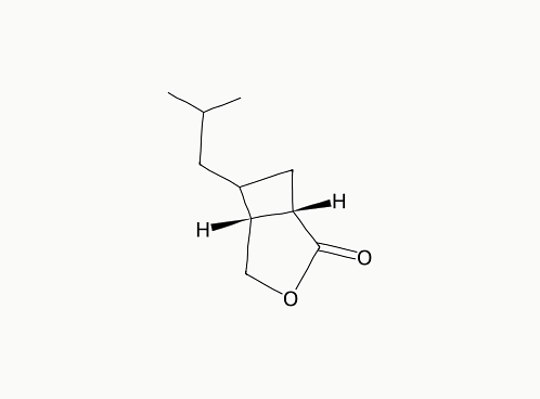 CC(C)CC1C[C@@H]2C(=O)OC[C@H]12